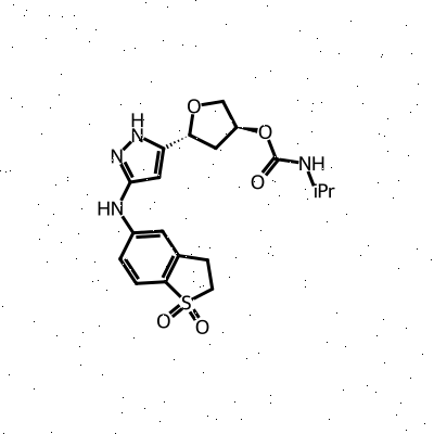 CC(C)NC(=O)O[C@@H]1CO[C@@H](c2cc(Nc3ccc4c(c3)CCS4(=O)=O)n[nH]2)C1